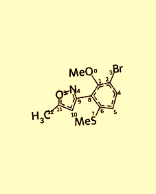 COc1c(Br)ccc(SC)c1-c1cc(C)on1